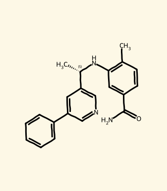 Cc1ccc(C(N)=O)cc1N[C@@H](C)c1cncc(-c2ccccc2)c1